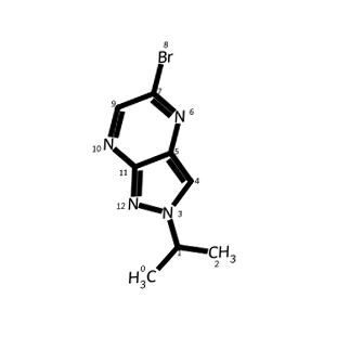 CC(C)n1cc2nc(Br)cnc2n1